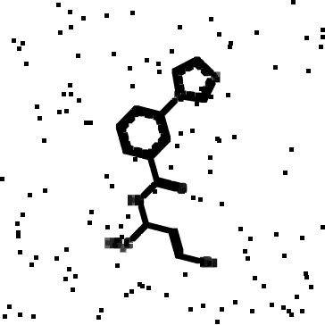 CC(C)(C)C=CC(NC(=O)c1cccc(-n2ccnc2)c1)C(=O)O